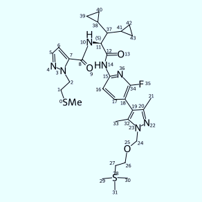 CSCCn1nccc1C(=O)N[C@H](C(=O)Nc1ccc(-c2c(C)nn(COCCS(C)(C)C)c2C)c(F)n1)C(C1CC1)C1CC1